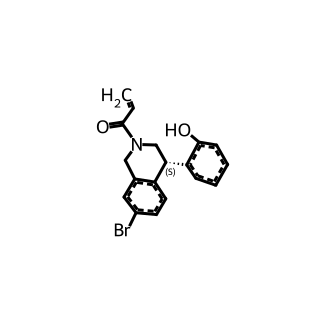 C=CC(=O)N1Cc2cc(Br)ccc2[C@@H](c2ccccc2O)C1